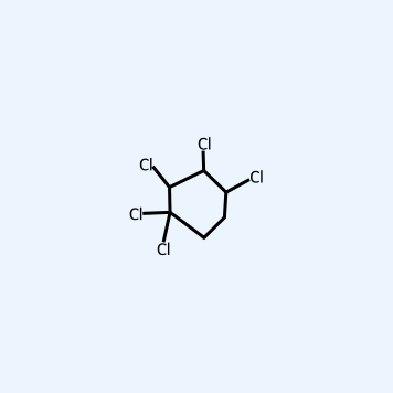 ClC1CCC(Cl)(Cl)C(Cl)C1Cl